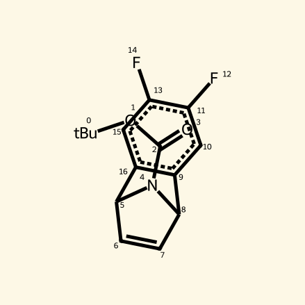 CC(C)(C)OC(=O)N1C2C=CC1c1cc(F)c(F)cc12